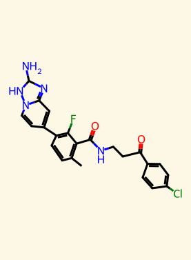 Cc1ccc(C2=CC3=NC(N)NN3C=C2)c(F)c1C(=O)NCCC(=O)c1ccc(Cl)cc1